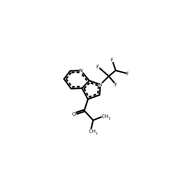 CC(C)C(=O)c1cn(C(F)(F)C(F)F)c2ncccc12